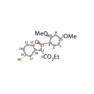 CCOC(=O)c1c(-c2ccc(OC)cc2OC)oc2ccc(F)cc12